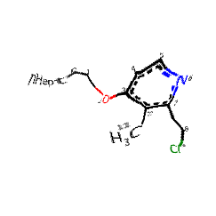 CCCCCCCCOc1ccnc(CCl)c1C